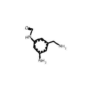 NCc1cc(N)cc(NC=O)c1